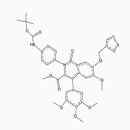 COC(=O)c1c(-c2cc(OC)c(OC)c(OC)c2)c2cc(OC)c(OCc3ccsc3)cc2c(=O)n1-c1ccc(NC(=O)OC(C)(C)C)cc1